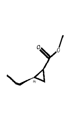 CC[C@@H]1CC1C(=O)OC